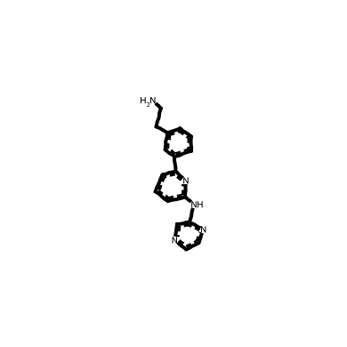 NCCc1cccc(-c2cccc(Nc3cnccn3)n2)c1